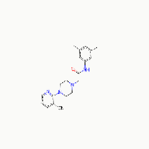 Cc1cc(C)cc(NC(=O)CN2CCN(c3ncccc3C#N)CC2)c1